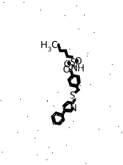 CCCCCCS(=O)(=O)NC(=O)c1ccc(CSCc2ccc(-c3ccccc3)cn2)cc1